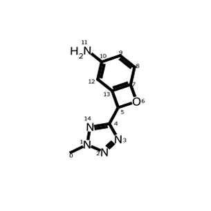 Cn1nnc(C2Oc3ccc(N)cc32)n1